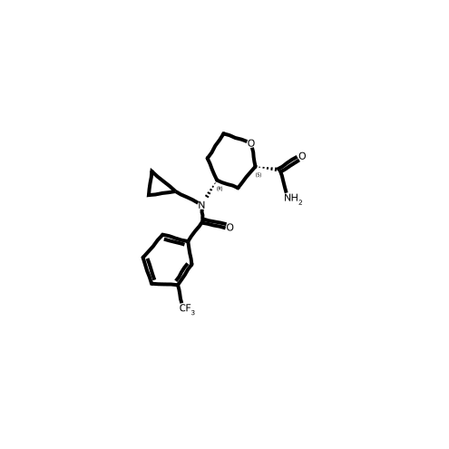 NC(=O)[C@@H]1C[C@H](N(C(=O)c2cccc(C(F)(F)F)c2)C2CC2)CCO1